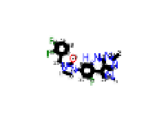 Cc1nc(N)c2c(-c3ccc(N4CCN(Cc5cccc(F)c5F)C4=O)cc3F)cn(C)c2n1